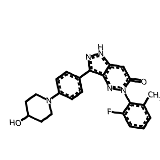 Cc1cccc(F)c1-n1nc2c(-c3ccc(N4CCC(O)CC4)cc3)n[nH]c2cc1=O